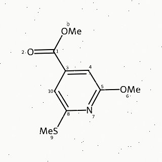 COC(=O)c1cc(OC)nc(SC)c1